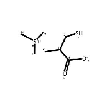 CC(CS)C(=O)[O-].[CH3][Sn+]([CH3])[CH3]